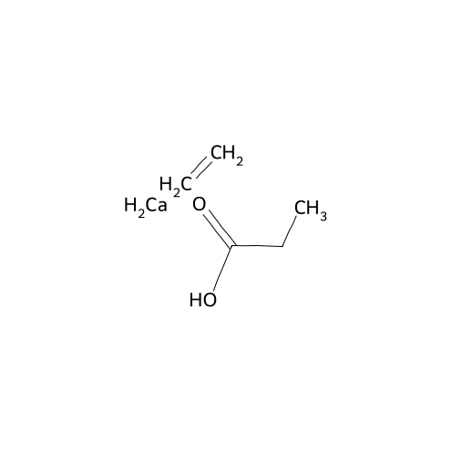 C=C.CCC(=O)O.[CaH2]